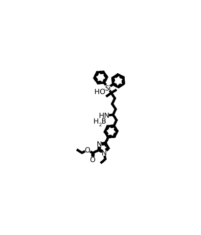 BNC(CCCC(C)(C)[Si](O)(c1ccccc1)c1ccccc1)Cc1ccc(-c2cn(CC)c(C(=O)OCC)n2)cc1